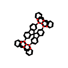 C1=CC2c3ccccc3N(c3ccc4c(c3)C3(c5cc(N6c7ccccc7C7C=CC=CC76)ccc5-4)c4cc(N5c6ccccc6C6C=CC=CC65)ccc4-c4ccc(N5c6ccccc6C6C=CC=CC65)cc43)C2C=C1